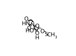 CSCOC[C@H]1O[C@@H](n2ccc(=O)[nH]c2=O)[C@H](O)[C@@H]1O